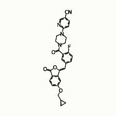 N#Cc1ccc(N2CCN(C(=O)c3cc(C=C4OC(=O)c5ccc(OCC6CC6)cc54)ccc3F)CC2)nc1